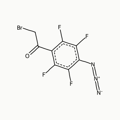 [N-]=[N+]=Nc1c(F)c(F)c(C(=O)CBr)c(F)c1F